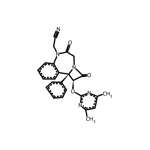 Cc1cc(C)nc(O[C@@H]2C(=O)N3CC(=O)N(CC#N)c4ccccc4[C@@]23c2ccccc2)n1